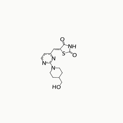 O=C1NC(=O)C(=Cc2ccnc(N3CCC(CO)CC3)n2)S1